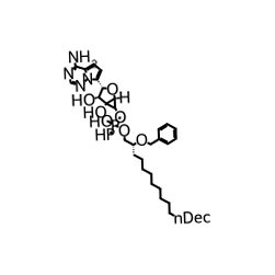 CCCCCCCCCCCCCCCCCCC[C@H](COP(O)(=P)OC1[C@H]2O[C@@H](c3ccc4c(N)ncnn34)[C@H](O)[C@@]12O)OCc1ccccc1